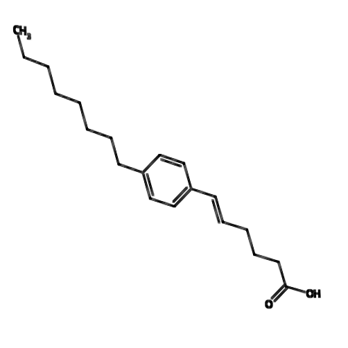 CCCCCCCCc1ccc(/C=C/CCCC(=O)O)cc1